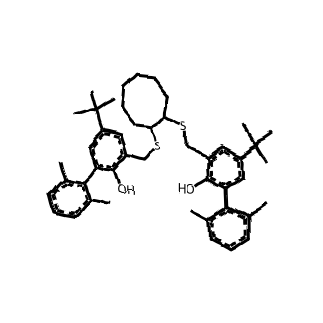 Cc1cccc(C)c1-c1cc(C(C)(C)C)cc(CSC2CCCCCCC2SCc2cc(C(C)(C)C)cc(-c3c(C)cccc3C)c2O)c1O